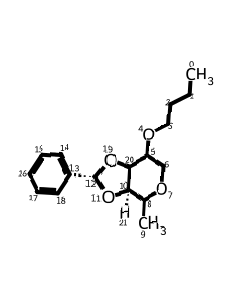 CCCCOC1COC(C)[C@H]2O[C@H](c3ccccc3)OC12